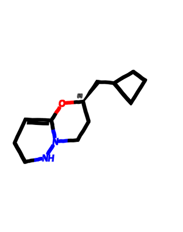 C1=C2O[C@@H](CC3CCC3)CCN2NCC1